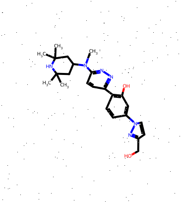 CN(c1ccc(-c2ccc(-n3ccc(CO)n3)cc2O)nn1)C1CC(C)(C)NC(C)(C)C1